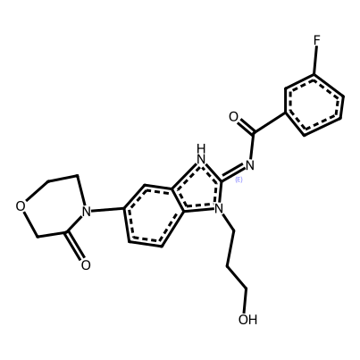 O=C(/N=c1\[nH]c2cc(N3CCOCC3=O)ccc2n1CCCO)c1cccc(F)c1